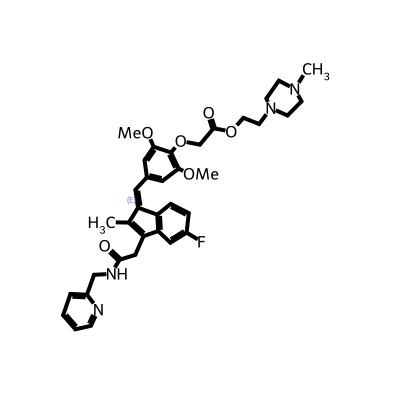 COc1cc(/C=C2/C(C)=C(CC(=O)NCc3ccccn3)c3cc(F)ccc32)cc(OC)c1OCC(=O)OCCN1CCN(C)CC1